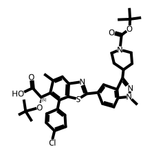 Cc1cc2nc(-c3ccc4c(c3)c(C3CCN(C(=O)OC(C)(C)C)CC3)nn4C)sc2c(-c2ccc(Cl)cc2)c1[C@H](OC(C)(C)C)C(=O)O